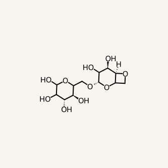 OC1OC(CO[C@H]2OC3CO[C@@H]3[C@H](O)C2O)[C@@H](O)[C@H](O)C1O